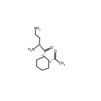 CC(=O)[C@@H]1CCCC[C@@H]1C(=O)N(N)CCN